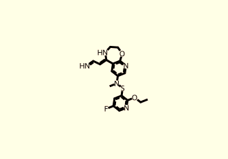 CCOc1ncc(F)cc1SN(C)c1cnc2c(c1)/C(=C/C=N)NCCO2